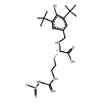 CC(C)(C)c1cc(CN[C@@H](CCCNC(=N)N[N+](=O)[O-])C(=O)O)cc(C(C)(C)C)c1O